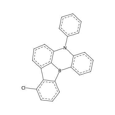 Clc1cccc2c1-c1cccc3c1B2c1ccccc1N3c1ccccc1